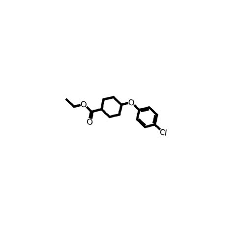 CCOC(=O)C1CCC(Oc2ccc(Cl)cc2)CC1